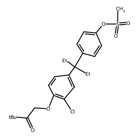 CCC(CC)(c1ccc(OS(C)(=O)=O)cc1)c1ccc(OCC(=O)C(C)(C)C)c(Cl)c1